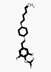 C=CCCCC[C@H]1CC[C@H](CCc2cc(F)c(OC(F)F)c(F)c2)CC1